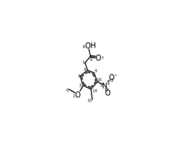 COc1cc(CC(=O)O)cc([N+](=O)[O-])c1C